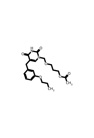 CCCOc1cccc(Cc2cn(COCCCOC(C)=O)c(=O)[nH]c2=O)c1